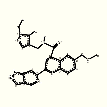 CCn1ncc(CN(C)C(=O)c2cc(-c3cc4n[nH]cc4cn3)nc3ccc(COC)cc23)c1C